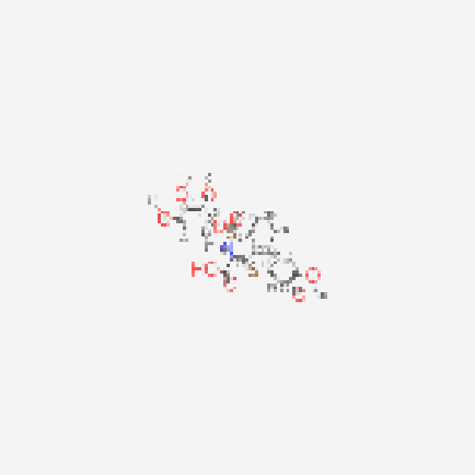 COc1cc(CN2C(C(=O)O)=C(Sc3ccc4c(c3)OCO4)c3ccccc3S2(=O)=O)cc(OC)c1OC